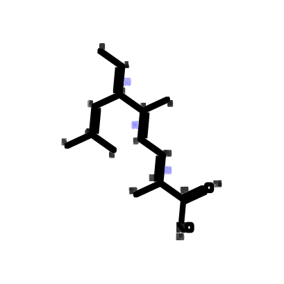 C/C=C(C=C(C)C)/C(C)=C/C=C(\C)C(=O)N=O